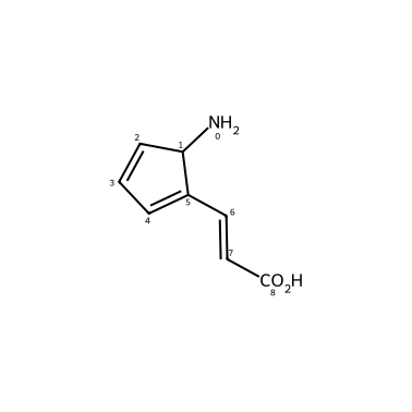 NC1C=CC=C1/C=C/C(=O)O